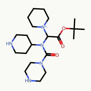 CC(C)(C)OC(=O)C(N(C(=O)N1CCNCC1)C1CCNCC1)[N+]1CCCCC1